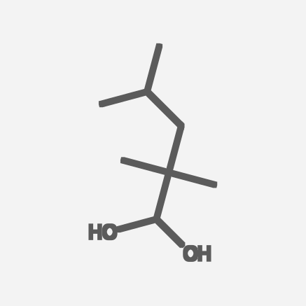 CC(C)CC(C)(C)C(O)O